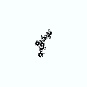 Cc1ncccc1-c1nc(C)c(C(=O)N2CC[C@@H](C(=O)N3CCC(O)(Cn4cnc5c(ccn5C)c4=O)CC3)[C@H](c3ccccc3)C2)s1